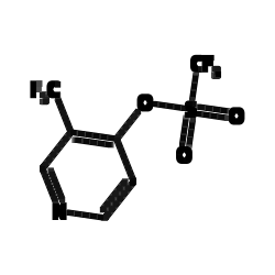 O=S(=O)(Oc1ccncc1C(F)(F)F)C(F)(F)F